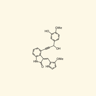 COc1ccc(C(O)C#Cc2cccc3c2/C(=C/c2[nH]ccc2OC)C(=O)N3)cc1O